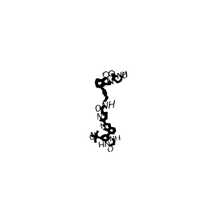 Cc1noc(C)c1-c1cc2c(c(-c3cccc4cc(-c5ccc(C(=O)NCCC#Cc6cccc7c6CN(C6CCC(=O)NC6=O)C7=O)nc5)ncc34)c1)N[C@H](C)CC(=O)N2